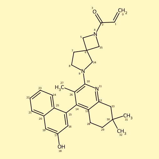 C=CC(=O)N1CC2(CCN(c3nc4c(c(-c5cc(O)cc6ccccc56)c3C)CCC(C)(C)C4)C2)C1